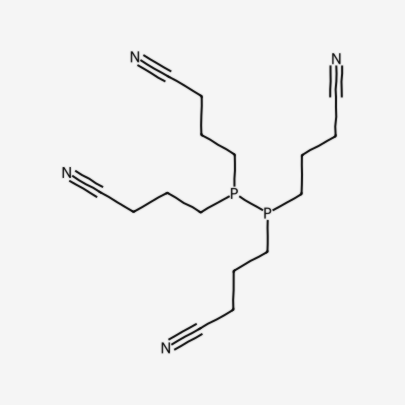 N#CCCCP(CCCC#N)P(CCCC#N)CCCC#N